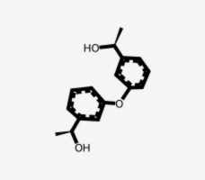 C[C@H](O)c1cccc(Oc2cccc([C@H](C)O)c2)c1